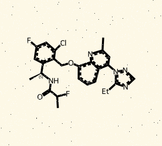 CCc1ncnn1-c1cc(C)nc2c(OCc3c(Cl)cc(F)cc3[C@H](C)NC(=O)C(C)F)cccc12